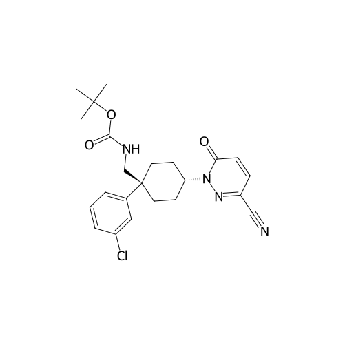 CC(C)(C)OC(=O)NC[C@]1(c2cccc(Cl)c2)CC[C@@H](n2nc(C#N)ccc2=O)CC1